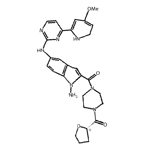 COC1=CCNC(c2ccnc(Nc3ccc4c(c3)cc(C(=O)N3CCN(C(=O)[C@@H]5CCCO5)CC3)n4N)n2)=C1